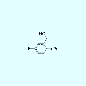 CCCc1ccc(F)cc1CO